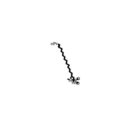 CCCC=CCCCCCCCCCCCCCCCC(CCC)(P(=O)=O)[N+](C)(C)C